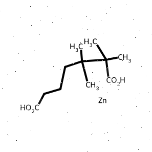 CC(C)(CCCC(=O)O)C(C)(C)C(=O)O.[Zn]